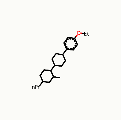 CCCC1CCC(C2CCC(c3ccc(OCC)cc3)CC2)C(C)C1